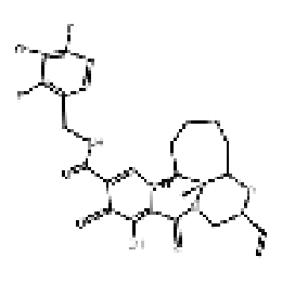 C=C[C@H]1CN2C(=O)c3c(O)c(=O)c(C(=O)NCc4ccc(F)c(Cl)c4F)cn3[C@@H]3CCCCC(O1)[C@@H]32